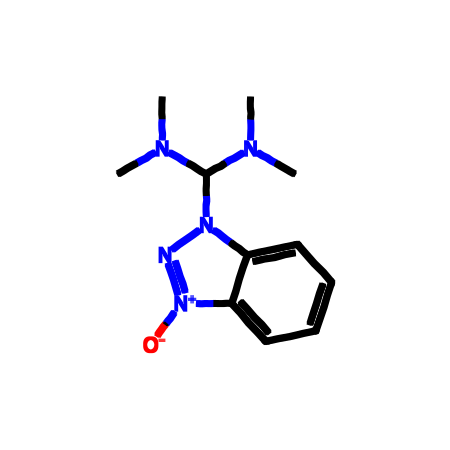 CN(C)C(N(C)C)n1n[n+]([O-])c2ccccc21